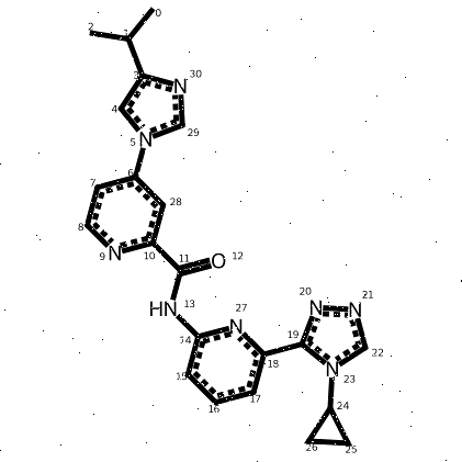 CC(C)c1cn(-c2ccnc(C(=O)Nc3cccc(-c4nncn4C4CC4)n3)c2)cn1